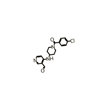 O=Cc1cnccc1NC1CCN(C(=O)c2ccc(Cl)cc2)CC1